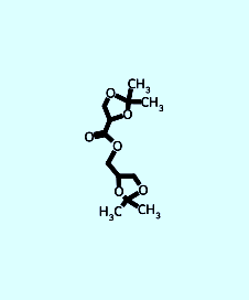 CC1(C)OCC(COC(=O)C2COC(C)(C)O2)O1